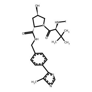 Cc1ncsc1-c1ccc(CNC(=O)[C@@H]2C[C@@H](O)CN2C(=O)[C@@H](NI)C(C)(C)C)cc1